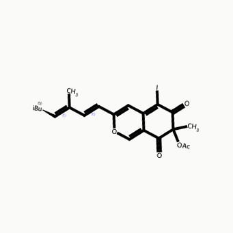 CC[C@H](C)/C=C(C)/C=C/C1=CC2=C(I)C(=O)C(C)(OC(C)=O)C(=O)C2=CO1